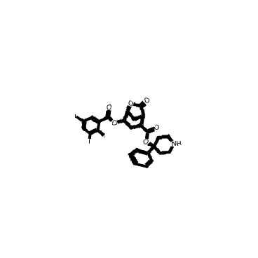 O=C(OC1CC(C(=O)OC2(c3ccccc3)CCNCC2)C2CC1OC2=O)c1cc(I)cc(I)c1I